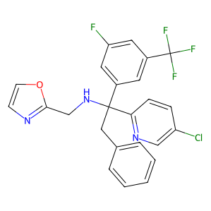 Fc1cc(C(F)(F)F)cc(C(Cc2ccccc2)(NCc2ncco2)c2ccc(Cl)cn2)c1